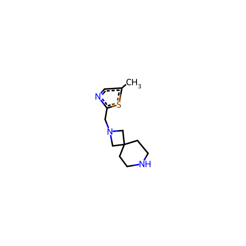 Cc1cnc(CN2CC3(CCNCC3)C2)s1